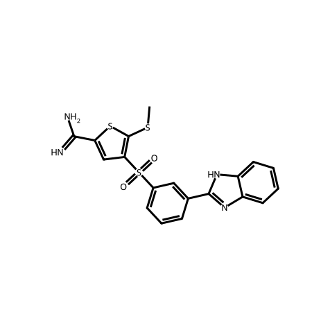 CSc1sc(C(=N)N)cc1S(=O)(=O)c1cccc(-c2nc3ccccc3[nH]2)c1